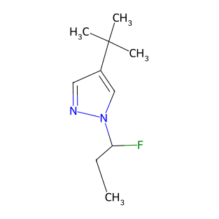 CCC(F)n1cc(C(C)(C)C)cn1